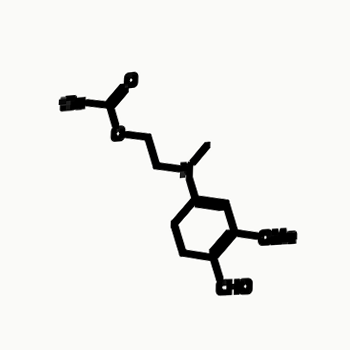 COC1=C(C=O)CCC(N(C)CCOC(=O)C(C)(C)C)=C1